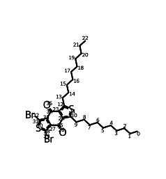 CCCCCCCCCCc1sc(CCCCCCCCCC)c2c1C(=O)c1c(Br)sc(Br)c1C2=O